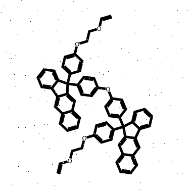 C=COCCOc1ccc(C2(c3ccc(Oc4ccc(C5(c6ccc(OCCOC=C)cc6)c6ccccc6-c6cc7ccccc7cc65)cc4)cc3)c3ccccc3-c3cc4ccccc4cc32)cc1